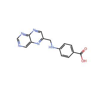 O=C(O)c1ccc(NCc2cnc3ncncc3n2)cc1